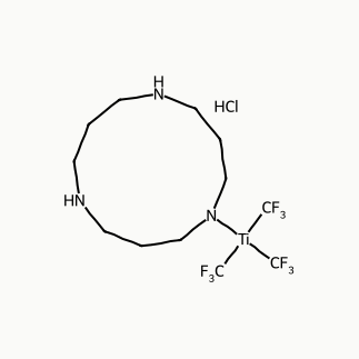 Cl.F[C](F)(F)[Ti]([N]1CCCNCCCNCCC1)([C](F)(F)F)[C](F)(F)F